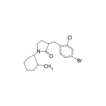 CC1CCCCC1N1CCC(Cc2ccc(Br)cc2Cl)C1=O